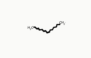 [CH2]CCCCCC/C=C\C=C\CC/C=C/CC